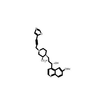 COc1ccc2nccc([C@@H](O)CC[C@@H]3CCN(CC#Cc4cnco4)C[C@@H]3C(=O)O)c2c1